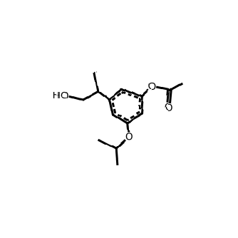 [CH2]C(CO)c1cc(OC(C)=O)cc(OC(C)C)c1